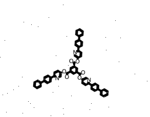 O=C(Oc1ccc(-c2ccc(-c3ccccc3)cc2)nc1)c1cc(C(=O)Oc2ccc(-c3ccc(-c4ccccc4)cc3)nc2)cc(C(=O)Oc2ccc(-c3ccc(-c4ccccc4)cc3)nc2)c1